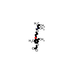 CCc1cc(OCC=C(Cl)Cl)cc(C)c1OCCCCO/N=C(\C)CC(C)C